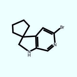 Brc1cc2c(cn1)NCC21CCCC1